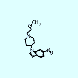 COCCN1CCC(n2ccc3ccc(N=O)cc32)CC1